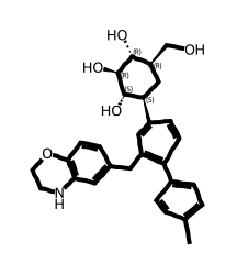 Cc1ccc(-c2ccc([C@@H]3C[C@H](CO)[C@@H](O)[C@H](O)[C@H]3O)cc2Cc2ccc3c(c2)NCCO3)cc1